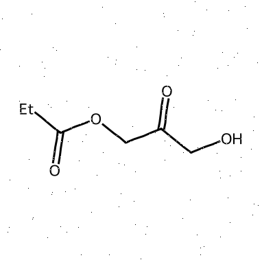 CCC(=O)OCC(=O)CO